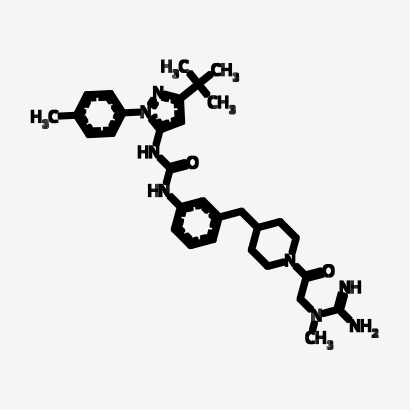 Cc1ccc(-n2nc(C(C)(C)C)cc2NC(=O)Nc2cccc(CC3CCN(C(=O)CN(C)C(=N)N)CC3)c2)cc1